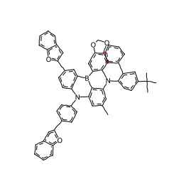 Cc1cc2c3c(c1)N(c1ccc(C(C)(C)C)cc1-c1ccccc1)c1cc4c(cc1B3c1cc(-c3cc5ccccc5o3)ccc1N2c1ccc(-c2cc3ccccc3o2)cc1)OCO4